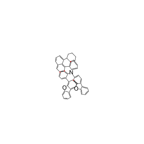 c1ccc(N(c2ccc3c(c2)oc2ccccc23)c2ccccc2-c2cccc3cccc(C4CCCCC4)c23)c(-c2cccc3c2oc2ccccc23)c1